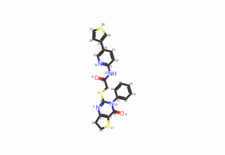 O=C(CSc1nc2c(c(=O)n1-c1ccccc1)SCC2)Nc1ccc(-c2ccsc2)cn1